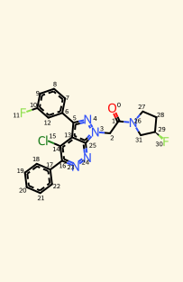 O=C(Cn1nc(-c2cccc(F)c2)c2c(Cl)c(-c3ccccc3)nnc21)N1CC[C@@H](F)C1